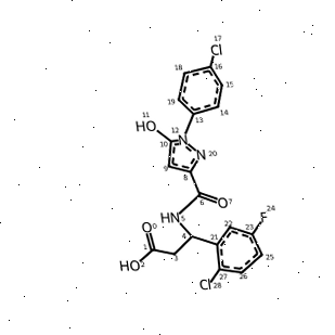 O=C(O)CC(NC(=O)c1cc(O)n(-c2ccc(Cl)cc2)n1)c1cc(F)ccc1Cl